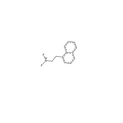 F[SiH](F)CCc1cccc2ccccc12